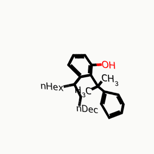 CCCCCCCCCCCC(CCCCCC)c1cccc(O)c1C(C)(C)c1ccccc1